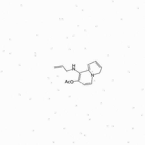 C=CCNC1=C(OC(C)=O)C=CN2CC=CC=C12